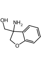 NC1(CO)COc2ccccc21